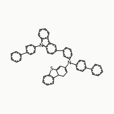 C1=C2Sc3ccccc3C2CC=C1N(c1ccc(-c2ccccc2)cc1)c1cccc(-c2ccc3c(c2)c2ccccc2n3-c2ccc(-c3ccccc3)cc2)c1